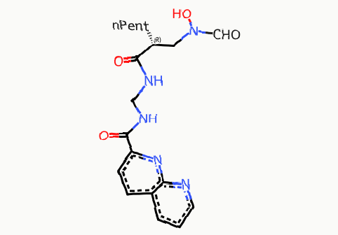 CCCCC[C@H](CN(O)C=O)C(=O)NCNC(=O)c1ccc2cccnc2n1